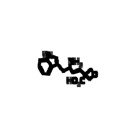 NC(C=CC1(C(=O)O)COC1)Cc1c[nH]c2ccccc12